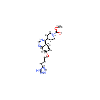 CC(C)(C)OC(=O)N1CCC(c2ncnc3cc(OCCCc4nnn[nH]4)ccc23)CC1